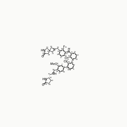 COc1cc(-c2nccc(-c3cccc(Nc4cccc(CN5CC6(CNC(=O)C6)C5)c4F)c3Cl)c2Cl)ccc1CNC[C@@H]1CCC(=O)N1